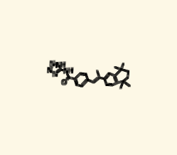 CC(=Cc1ccc(C(=O)Nc2nnn[nH]2)cc1)c1ccc2c(c1)C(C)(C)CCC2(C)C